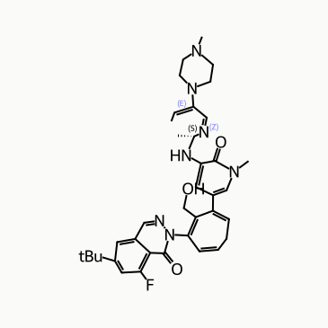 C/C=C(\C=N/[C@@H](C)Nc1cc(C2=CCC=CC(n3ncc4cc(C(C)(C)C)cc(F)c4c3=O)=C2CO)cn(C)c1=O)N1CCN(C)CC1